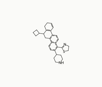 C1=CC2=C(CC1)C(C1CCC1)Cc1c2ccc2c(C3=NCCS3)c(C3CCNCC3)ccc12